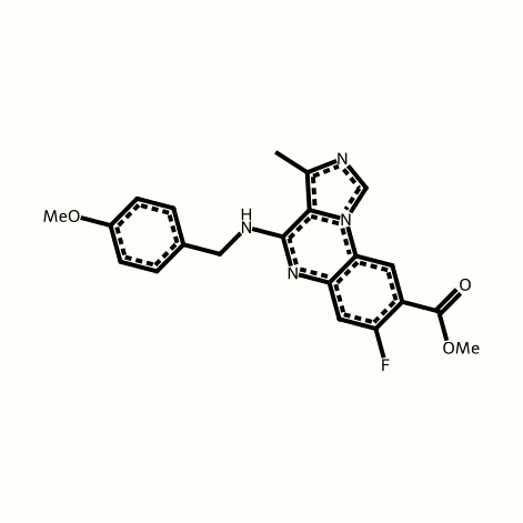 COC(=O)c1cc2c(cc1F)nc(NCc1ccc(OC)cc1)c1c(C)ncn12